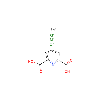 O=C(O)c1cccc(C(=O)O)n1.[Cl-].[Cl-].[Cl-].[Fe+3]